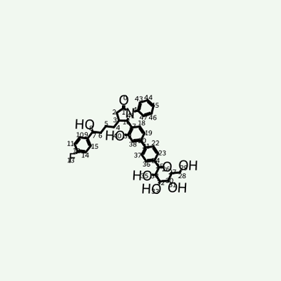 O=C1CC(CCCC(O)c2ccc(F)cc2)C(c2ccc(-c3ccc(C4OC(CO)C(O)C(O)C4O)cc3)cc2O)N1c1ccccc1